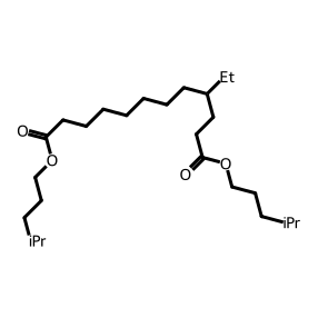 CCC(CCCCCCCC(=O)OCCCC(C)C)CCC(=O)OCCCC(C)C